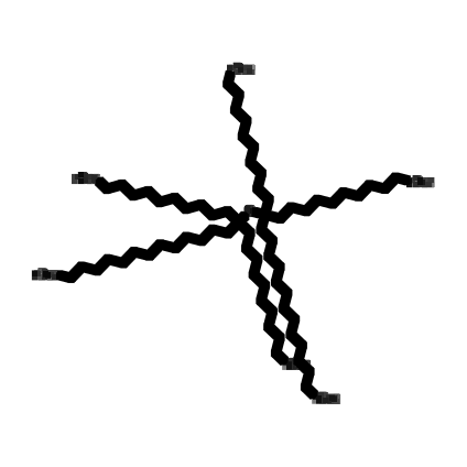 CCCCCCCCCCCCCCCCCCCCCCCC(CCCCCCCCCCCCCCCCCCCC)(CCCCCCCCCCCCCCCCCCCC)OC(CCCCCCCCCCCCCCCCCCCC)(CCCCCCCCCCCCCCCCCCCC)CCCCCCCCCCCCCCCCCCCCCCC